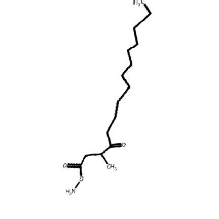 CCCCCCCCCCCC(=O)C(C)CC(=O)ON